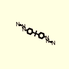 CC(C)(c1ccc(N=NC#N)cc1)c1ccc(N=NC#N)cc1